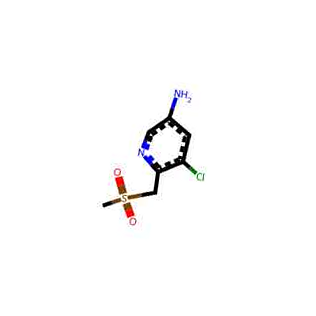 CS(=O)(=O)Cc1ncc(N)cc1Cl